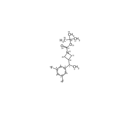 CC(c1cc(F)cc(F)c1)C1CN(C(=O)OC(C)(C)C)C1